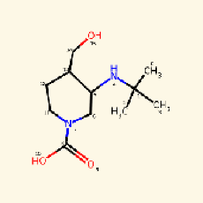 CC(C)(C)NC1CN(C(=O)O)CCC1CO